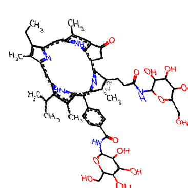 CCC1=C(C)c2cc3[nH]c(c(C)c3C(C)C)c(-c3ccc(C(=O)NC4OC(CO)C(O)C(O)C4O)cc3)c3nc(c4c5[nH]c(cc1n2)c(C)c5C(=O)C4)[C@@H](CCC(=O)NC1OC(CO)C(O)C(O)C1O)[C@@H]3C